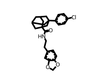 O=C(NCCc1ccc2c(c1)OCO2)C12CC3CC(C1)CC(c1ccc(Cl)cc1)(C3)C2